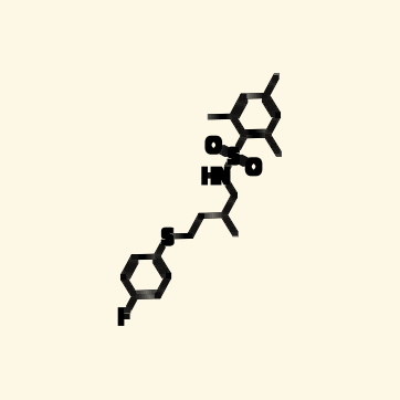 Cc1cc(C)c(S(=O)(=O)NCC(C)CCSc2ccc(F)cc2)c(C)c1